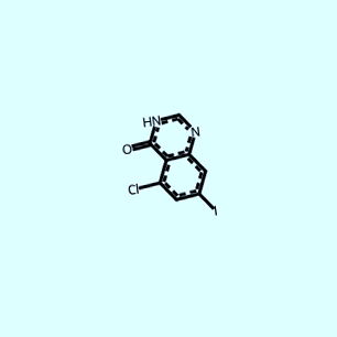 O=c1[nH]cnc2cc(I)cc(Cl)c12